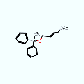 CC(=O)OC/C=C/CO[Si](c1ccccc1)(c1ccccc1)C(C)(C)C